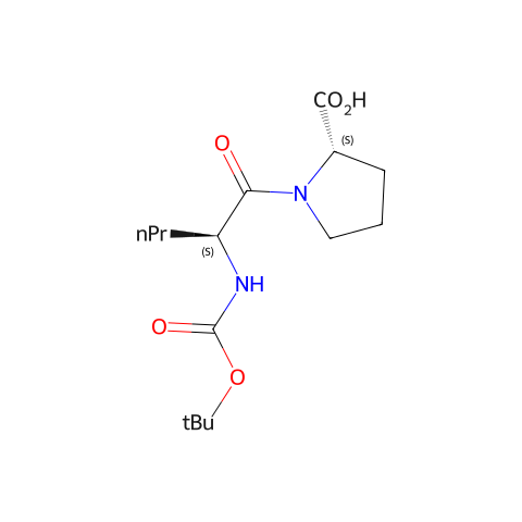 CCC[C@H](NC(=O)OC(C)(C)C)C(=O)N1CCC[C@H]1C(=O)O